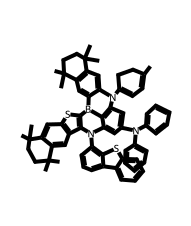 CC1=CC=C(N2c3cc4c(cc3B3c5sc6cc7c(cc6c5N(c5cccc6c5sc5ccccc56)c5cc(N(c6ccccc6)c6ccccc6)cc2c53)C(C)(C)CCC7(C)C)C(C)(C)CCC4(C)C)CC1